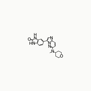 CN(c1ccc2ncc(-c3ccc4[nH]c(=O)[nH]c4c3)n2n1)C1CCOCC1